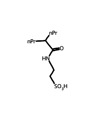 CCCC(CCC)C(=O)NCCS(=O)(=O)O